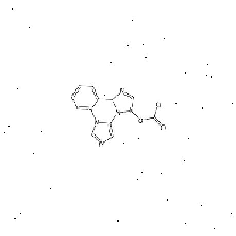 O=C(Cl)ON1C=NC2c3ccccc3-n3cncc3N21